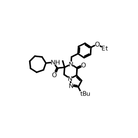 CCOc1ccc(CN2C(=O)c3cc(C(C)(C)C)nn3CC2(C)C(=O)NC2CCCCCC2)cc1